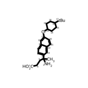 CC(N)(CCC(=O)O)c1ccc2cc(OC3CCC(C(C)(C)C)CC3)ccc2c1